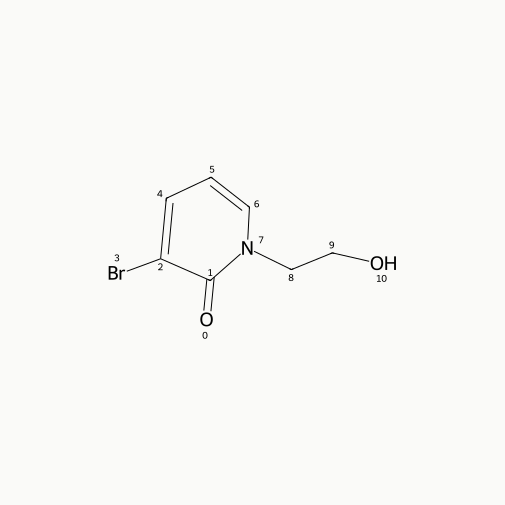 O=c1c(Br)cccn1CCO